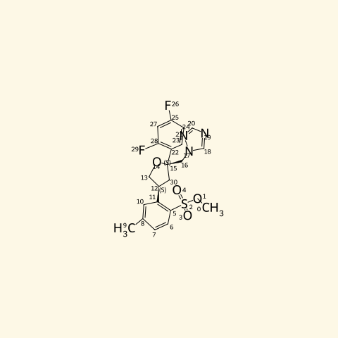 COS(=O)(=O)c1ccc(C)cc1[C@H]1CO[C@](Cn2cncn2)(c2ccc(F)cc2F)C1